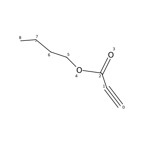 C#CC(=O)OCC[CH]C